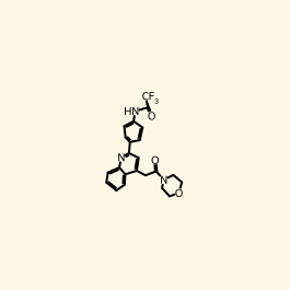 O=C(Cc1cc(-c2ccc(NC(=O)C(F)(F)F)cc2)nc2ccccc12)N1CCOCC1